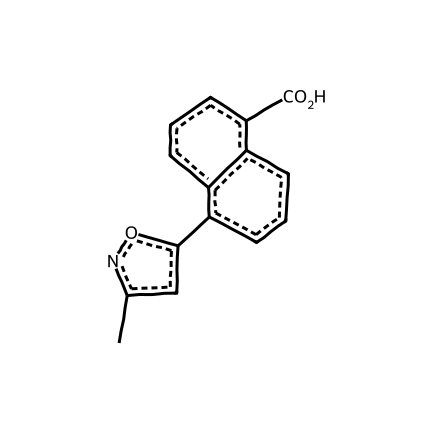 Cc1cc(-c2cccc3c(C(=O)O)cccc23)on1